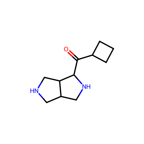 O=C(C1CCC1)C1NCC2CNCC21